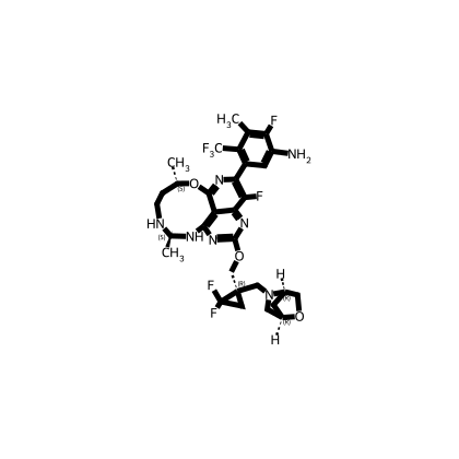 Cc1c(F)c(N)cc(-c2nc3c4c(nc(OC[C@]5(CN6C[C@H]7C[C@@H]6CO7)CC5(F)F)nc4c2F)N[C@@H](C)NCC[C@H](C)O3)c1C(F)(F)F